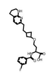 O=C(NC(CCOC1CC(CCc2ccc3c(n2)NCCC3)C1)C(=O)O)c1cccc(F)c1